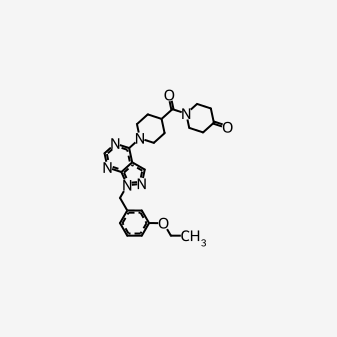 CCOc1cccc(Cn2ncc3c(N4CCC(C(=O)N5CCC(=O)CC5)CC4)ncnc32)c1